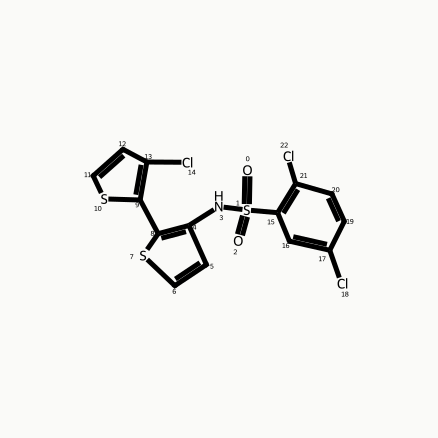 O=S(=O)(Nc1ccsc1-c1sccc1Cl)c1cc(Cl)ccc1Cl